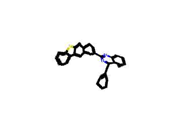 c1ccc(-c2nc(-c3ccc4cc5sc6ccccc6c5cc4c3)nc3ccccc23)cc1